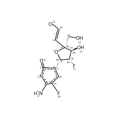 Nc1nc(=O)n([C@@H]2O[C@](/C=C/Cl)(CO)[C@@H](O)[C@@H]2F)cc1F